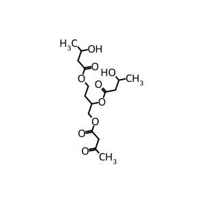 CC(=O)CC(=O)OCC(CCOC(=O)CC(C)O)OC(=O)CC(C)O